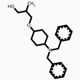 CC(CO)COC1CCC(N(Cc2ccccc2)Cc2ccccc2)CC1